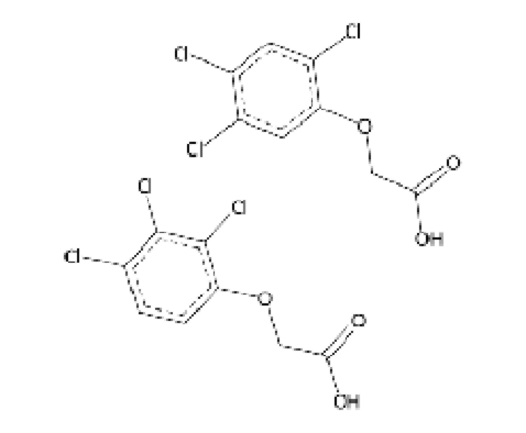 O=C(O)COc1cc(Cl)c(Cl)cc1Cl.O=C(O)COc1ccc(Cl)c(Cl)c1Cl